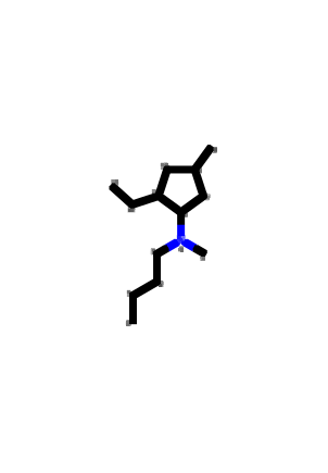 CCCCN(C)C1CC(C)CC1CC